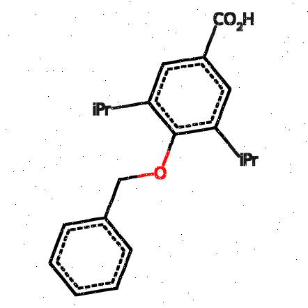 CC(C)c1cc(C(=O)O)cc(C(C)C)c1OCc1ccccc1